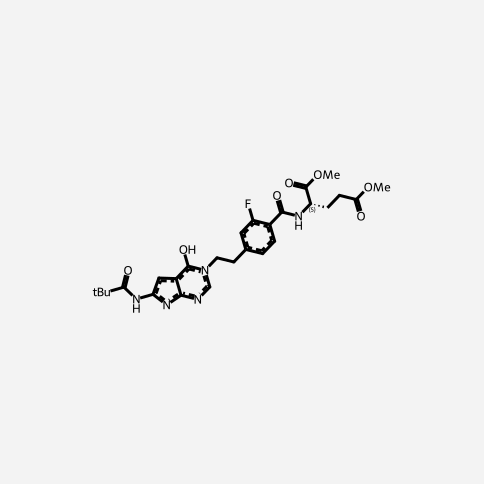 COC(=O)CC[C@H](NC(=O)c1ccc(CCn2cnc3nc(NC(=O)C(C)(C)C)cc-3c2O)cc1F)C(=O)OC